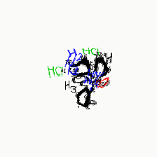 CN[C@H](CC1CCCCC1)C(=O)[N+]1(Cc2ccc(N)nc2C)CCC[C@@H]2C[C@@]21C(N)=O.Cl.Cl